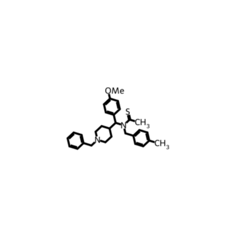 COc1ccc(C(C2CCN(Cc3ccccc3)CC2)N(Cc2ccc(C)cc2)C(C)=S)cc1